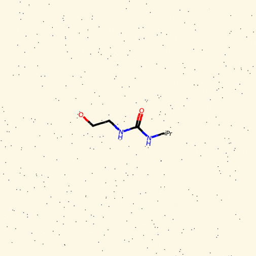 CC(C)NC(=O)NCC[O]